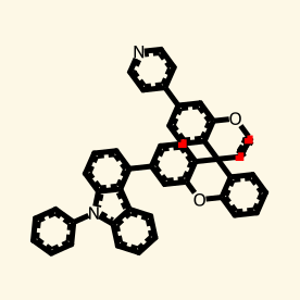 c1ccc(-n2c3ccccc3c3c(-c4ccc5c(c4)Oc4ccccc4C54c5ccccc5Oc5cc(-c6ccncc6)ccc54)cccc32)cc1